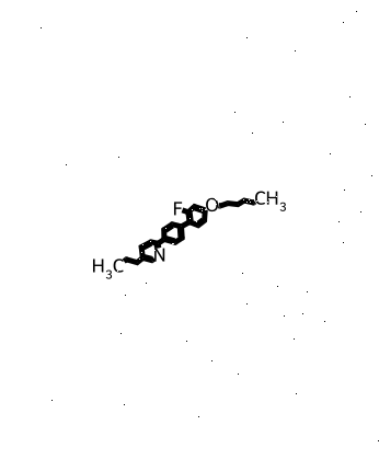 CCCCCCOc1ccc(-c2ccc(-c3ccc(CCC)cn3)cc2)c(F)c1